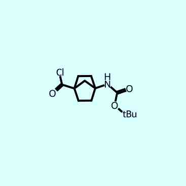 CC(C)(C)OC(=O)NC12CCC(C(=O)Cl)(CC1)C2